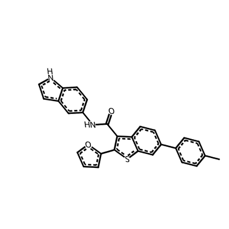 Cc1ccc(-c2ccc3c(C(=O)Nc4ccc5[nH]ccc5c4)c(-c4ccco4)sc3c2)cc1